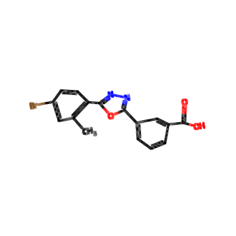 Cc1cc(Br)ccc1-c1nnc(-c2cccc(C(=O)O)c2)o1